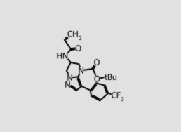 C=CC(=O)NC1CN(C(=O)OC(C)(C)C)c2c(-c3ccc(C(F)(F)F)cc3)cnn2C1